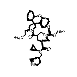 COCCCCC1(CNC(=O)C2CC(C(=O)N(Cc3ccncc3)C3CC3)CN(C(=O)OC(C)(C)C)C2)c2ccccc2Oc2ccccc21